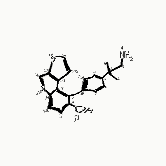 CC(C)(CN)c1ccc(-c2c(O)ccc3ncc4sccc4c23)cc1